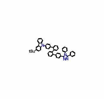 CC(C)(C)c1ccc2c(c1)c1ccccc1n2-c1ccc(-c2ccccc2-c2ccccc2-c2ccc(-c3nnc(-c4ccccc4)n3-c3ccccc3)cc2)cc1